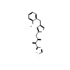 COc1ccccc1Cc1coc(CC(=O)C(=O)c2nc[nH]n2)c1